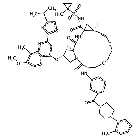 COc1ccc2c(O[C@@H]3C[C@H]4C(=O)N[C@]5(C(=O)NS(=O)(=O)C6(C)CC6)C[C@H]5/C=C\CCCCC[C@H](Nc5cccc(C(=O)N6CCN(c7ccccc7C)CC6)c5)C(=O)N4C3)cc(-c3nc(C(C)C)cs3)nc2c1C